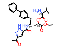 CCOC(=O)[C@@H](C[C@@H](Cc1ccc(-c2ccccc2)cc1)NC(=O)c1cc(C(C)=O)n[nH]1)OC(=O)[C@@H](N)C(C)C